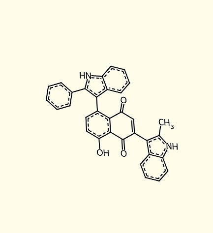 Cc1[nH]c2ccccc2c1C1=CC(=O)c2c(-c3c(-c4ccccc4)[nH]c4ccccc34)ccc(O)c2C1=O